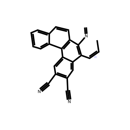 C=Nc1c(/C=C\C)c2cc(C#N)c(C#N)cc2c2c1ccc1ccccc12